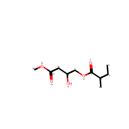 CCC(C)C(=O)OCC(O)CC(=O)OC